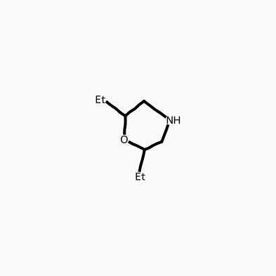 CCC1CNCC(CC)O1